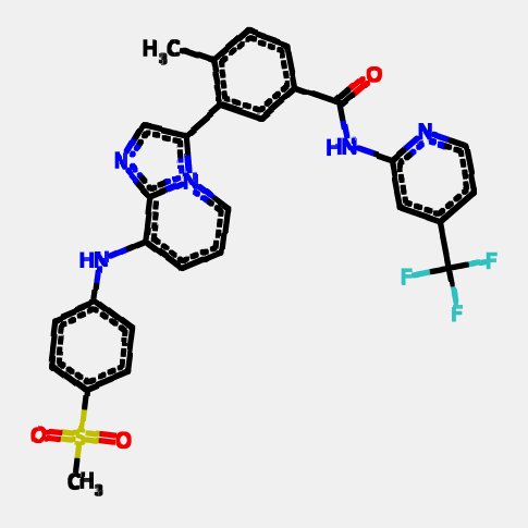 Cc1ccc(C(=O)Nc2cc(C(F)(F)F)ccn2)cc1-c1cnc2c(Nc3ccc(S(C)(=O)=O)cc3)cccn12